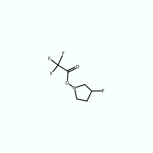 O=C(ON1CCC(F)C1)C(F)(F)F